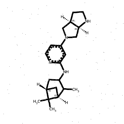 CC1C(Nc2cc(N3C[C@H]4CCN[C@H]4C3)ccn2)C[C@@H]2C[C@@H]1C2(C)C